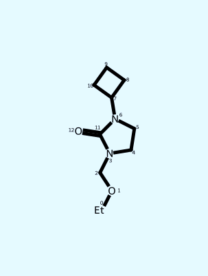 CCOCN1CCN(C2CCC2)C1=O